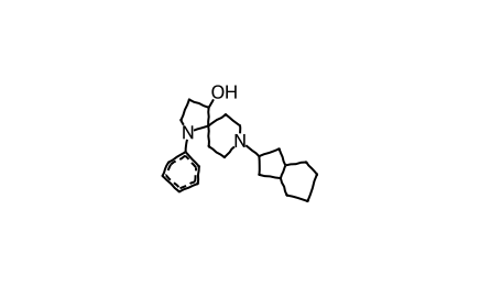 OC1CCN(c2ccccc2)C12CCN(C1CC3CCCCC3C1)CC2